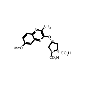 COc1ccc2nc(C)c(O[C@@H]3C[C@H](C(=O)O)N(C(=O)O)C3)nc2c1